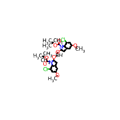 COc1cc(Cl)c2c(c1)cc(OBOc1cc3cc(OC)cc(Cl)c3n1C(=O)OC(C)(C)C)n2C(=O)OC(C)(C)C